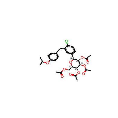 CC(=O)OC[C@H]1O[C@@H](c2ccc(Cl)c(Cc3ccc(OC(C)C)cc3)c2)[C@H](OC(C)=O)[C@@H](OC(C)=O)[C@@H]1OC(C)=O